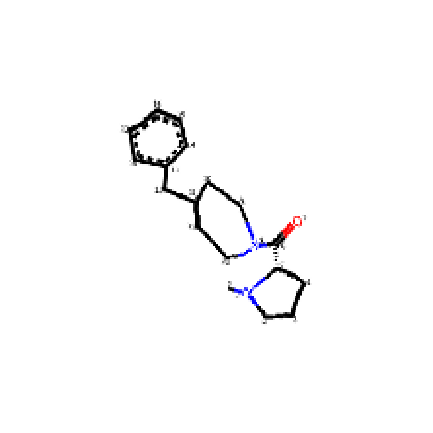 CN1CCC[C@H]1C(=O)N1CCC(Cc2ccccc2)CC1